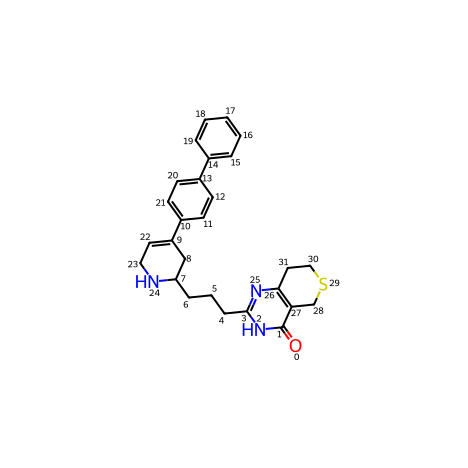 O=c1[nH]c(CCCC2CC(c3ccc(-c4ccccc4)cc3)=CCN2)nc2c1CSCC2